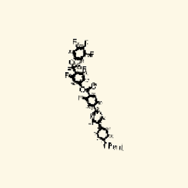 CCCCCC1CCC(c2cnc(-c3ccc(C(=O)Oc4cc(F)c(C(F)(F)Oc5cc(F)c(F)c(F)c5)c(F)c4)c(F)c3)nc2)CC1